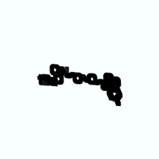 Cc1ccc(S(=O)(=O)OCCOCCOCC=NC(=O)OC(C)(C)C)cc1